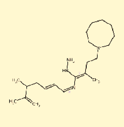 C=C(C)C(C)CC=C/C=N\C(NN)=C(/C)CCN1CCCCCCC1